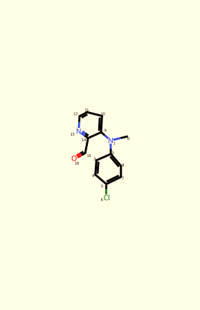 CN(c1ccc(Cl)cc1)c1cccnc1C=O